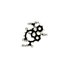 CNC(=O)C1Cc2ccc(NO)c(c2C[C@@H](C)C=CNC(=N)N)C(c2ccccc2)CCC(=O)CCC(=O)N1